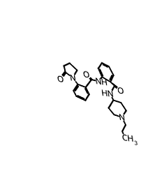 CCCN1CCC(NC(=O)c2ccccc2NC(=O)c2ccccc2N2CCCC2=O)CC1